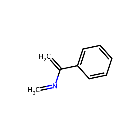 C=NC(=C)c1ccccc1